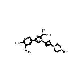 CCCN1CCN(C23CC(n4cc(-c5cnc(N)c(OC(F)(F)F)c5)nc4[C@@H](O)C(C)C)(C2)C3)CC1